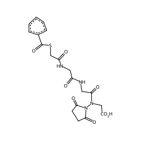 O=C(O)CN(C(=O)CNC(=O)CNC(=O)CSC(=O)c1ccccc1)N1C(=O)CCC1=O